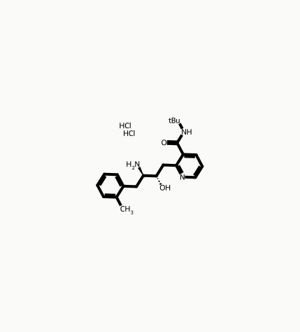 Cc1ccccc1C[C@@H](N)[C@@H](O)Cc1ncccc1C(=O)NC(C)(C)C.Cl.Cl